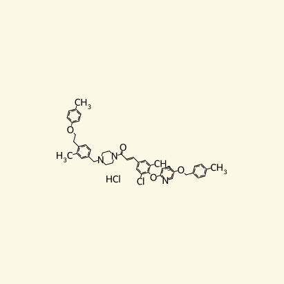 Cc1ccc(COc2ccc(Oc3c(C)cc(/C=C/C(=O)N4CCN(Cc5ccc(CCOc6ccc(C)cc6)c(C)c5)CC4)cc3Cl)nc2)cc1.Cl